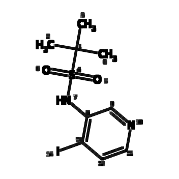 CC(C)(C)S(=O)(=O)Nc1cnccc1I